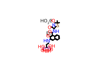 CCOc1c(NCCC(P(=O)(O)O)P(=O)(O)O)cc2ccccc2c1C(=O)NC1C(=O)N2C1SC(C)(C)C2OC(=O)O